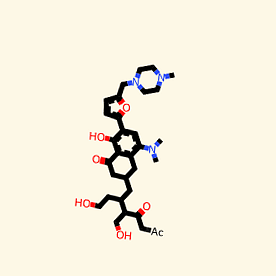 CC(=O)CC(=O)C(CO)C(CCO)CC1CC(=O)c2c(O)c(-c3ccc(CN4CCN(C)CC4)o3)cc(N(C)C)c2C1